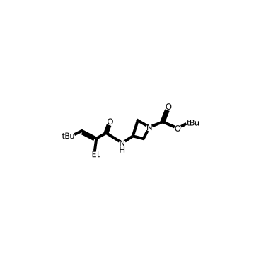 CC/C(=C\C(C)(C)C)C(=O)NC1CN(C(=O)OC(C)(C)C)C1